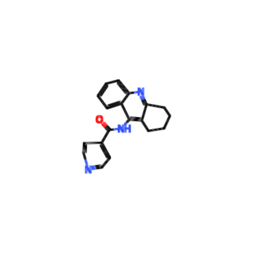 O=C(Nc1c2c(nc3ccccc13)CCCC2)c1ccncc1